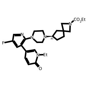 CCOC(=O)N1CC2(CC[C@@H](N3CCN(c4ncc(F)cc4-c4ccc(=O)n(CC)c4)CC3)C2)C1